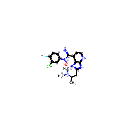 CC(Cc1nc2nccc(C(=N)N(O)c3ccc(F)c(Cl)c3)c2[nH]1)N(C)C